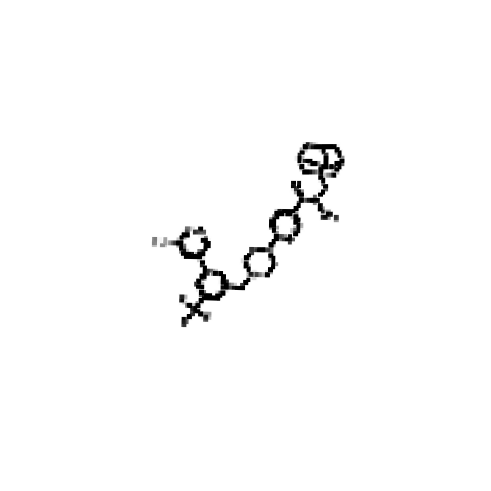 CN(CC12CC3CC(CC(C3)C1)C2)C(=O)c1ccc(N2CCN(Cc3cc(-c4cncc(O)c4)cc(C(F)(F)F)c3)CC2)nn1